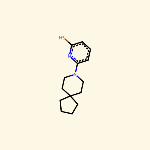 Sc1cccc(N2CCC3(CCCC3)CC2)n1